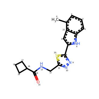 Cc1cccc2[nH]c(-c3nnc(CNC(=O)C4CCC4)s3)cc12